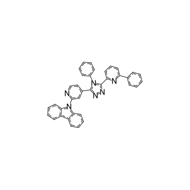 c1ccc(-c2cccc(-c3nnc(-c4ccnc(-n5c6ccccc6c6ccccc65)c4)n3-c3ccccc3)n2)cc1